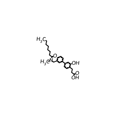 CCCCCCCC(=O)N(C)Cc1cccc(-c2ccc(CCC(=O)O)c(O)c2)c1